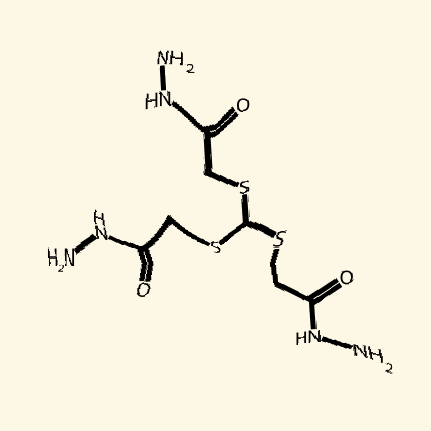 NNC(=O)CSC(SCC(=O)NN)SCC(=O)NN